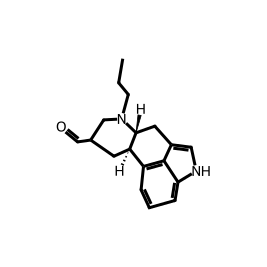 CCCN1CC(C=O)C[C@@H]2c3cccc4[nH]cc(c34)C[C@H]21